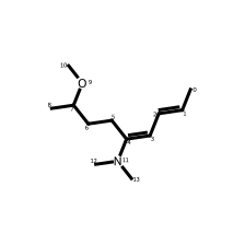 C/C=C/C=C(\CCC(C)OC)N(C)C